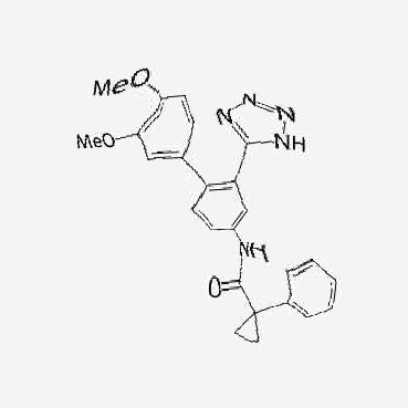 COc1ccc(-c2ccc(NC(=O)C3(c4ccccc4)CC3)cc2-c2nnn[nH]2)cc1OC